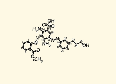 COC(=O)c1ccccc1/N=N/c1c(N)c(/N=N/c2cccc(CCCO)c2)cc(S(=O)(=O)O)c1N